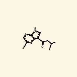 CC(C)CC(=O)c1c[nH]c2ncc(Cl)nc12